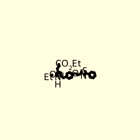 CCOC(=O)CCC1=C(OCC)NN(Cc2ccc(OCc3csc(-c4ccccc4)n3)cc2)C1